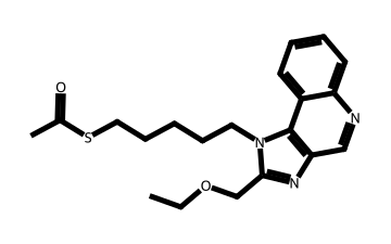 CCOCc1nc2cnc3ccccc3c2n1CCCCCSC(C)=O